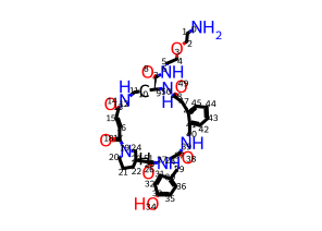 NCCOCCNC(=O)[C@@H]1CCNC(=O)/C=C/C(=O)N2CCC[C@H](C2)C(=O)N[C@@H](Cc2ccc(O)cc2)C(=O)NCc2ccccc2CC(=O)N1